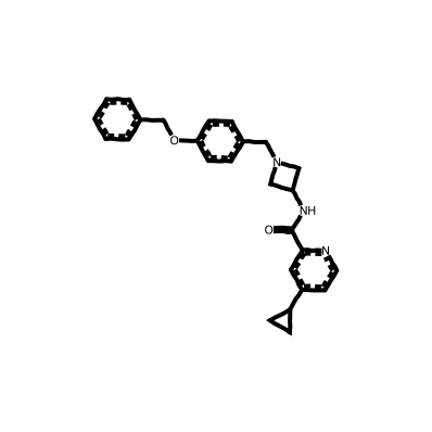 O=C(NC1CN(Cc2ccc(OCc3ccccc3)cc2)C1)c1cc(C2CC2)ccn1